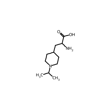 CC(C)N1CCC(CC(N)C(=O)O)CC1